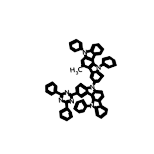 Cc1cc2c(c3ccccc3n2-c2ccccc2)c2c1c1cc(-n3c4ccc(-c5nc(-c6ccccc6)nc(-c6ccccc6)n5)cc4c4c3ccc3c5ccccc5n(-c5ccccc5)c34)ccc1n2-c1ccccc1